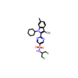 Cc1ccc2c(C#N)c(-c3ncc(S(=O)(=O)NC(CF)CF)cn3)n(C3CCCCC3)c2c1